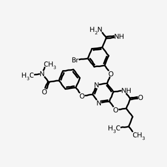 CC(C)CC1Oc2nc(Oc3cccc(C(=O)N(C)C)c3)nc(Oc3cc(Br)cc(C(=N)N)c3)c2NC1=O